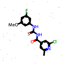 COc1cc(F)cc(NC(=S)NC(=O)c2cc(C)nc(Cl)c2)c1